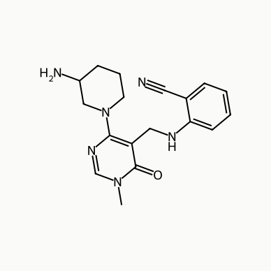 Cn1cnc(N2CCCC(N)C2)c(CNc2ccccc2C#N)c1=O